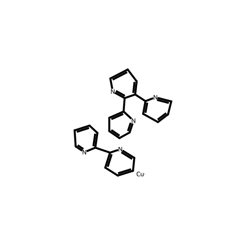 [Cu].c1ccc(-c2ccccn2)nc1.c1ccc(-c2cccnc2-c2ccccn2)nc1